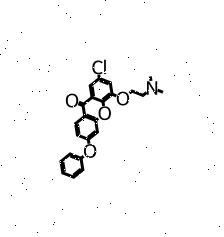 CN(C)CCOc1cc(Cl)cc2c(=O)c3ccc(Oc4ccccc4)cc3oc12